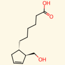 O=C(O)CCCCC[C@H]1CC=C[C@@H]1CO